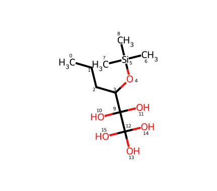 CCCC(O[Si](C)(C)C)C(O)(O)C(O)(O)O